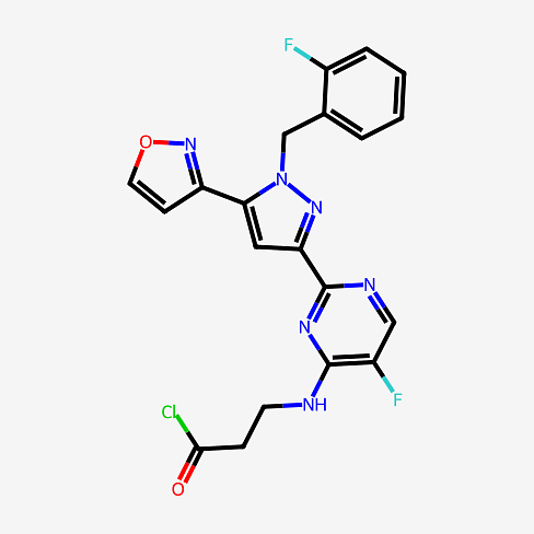 O=C(Cl)CCNc1nc(-c2cc(-c3ccon3)n(Cc3ccccc3F)n2)ncc1F